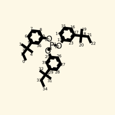 CCC(C)(C)c1cccc(OP(Oc2cccc(C(C)(C)CC)c2)Oc2cccc(C(C)(C)CC)c2)c1